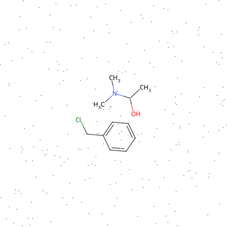 CC(O)N(C)C.ClCc1ccccc1